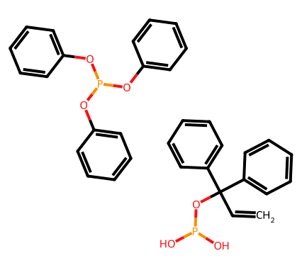 C=CC(OP(O)O)(c1ccccc1)c1ccccc1.c1ccc(OP(Oc2ccccc2)Oc2ccccc2)cc1